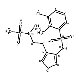 Cc1c(Cl)cccc1S(=O)(=O)Nc1cscc1CCN(C)S(=O)(=O)C(F)(F)F